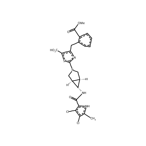 COC(=O)c1ccccc1Cc1nc(N2C[C@@H]3[C@H](C2)[C@H]3NC(=O)c2[nH]c(C)c(Cl)c2Cl)sc1C(=O)O